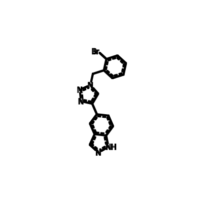 Brc1ccccc1Cn1cc(-c2ccc3[nH]ncc3c2)nn1